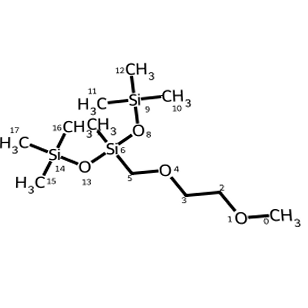 COCCOC[Si](C)(O[Si](C)(C)C)O[Si](C)(C)C